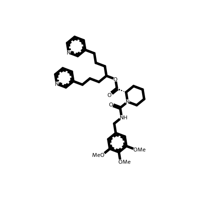 COc1cc(CNC(=O)N2CCCC[C@H]2C(=O)OC(CCCc2cccnc2)CCCc2cccnc2)cc(OC)c1OC